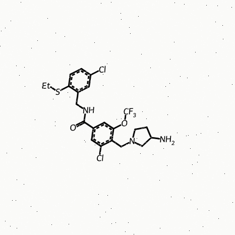 CCSc1ccc(Cl)cc1CNC(=O)c1cc(Cl)c(CN2CCC(N)C2)c(OC(F)(F)F)c1